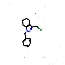 BrCc1nn(Cc2ccccc2)c2c1CCCC2